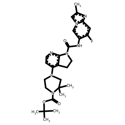 Cc1cn2cc(NC(=O)N3CCc4c(N5CCN(C(=O)OC(C)(C)C)C(C)(C)C5)ccnc43)c(F)cc2n1